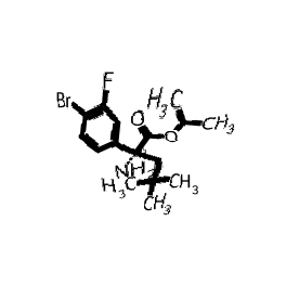 CC(C)OC(=O)[C@@](N)(CC(C)(C)C)c1ccc(Br)c(F)c1